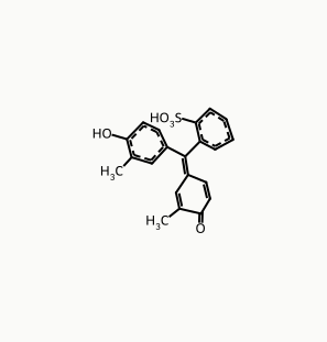 CC1=C/C(=C(\c2ccc(O)c(C)c2)c2ccccc2S(=O)(=O)O)C=CC1=O